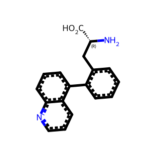 N[C@H](Cc1ccccc1-c1cccc2ncccc12)C(=O)O